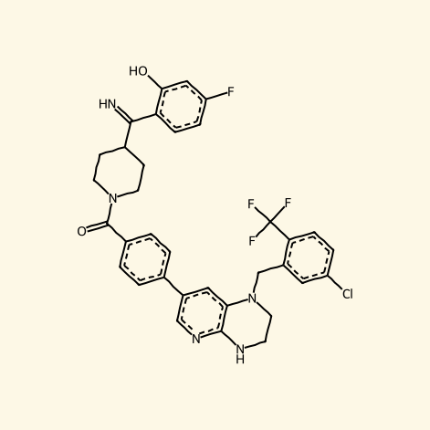 N=C(c1ccc(F)cc1O)C1CCN(C(=O)c2ccc(-c3cnc4c(c3)N(Cc3cc(Cl)ccc3C(F)(F)F)CCN4)cc2)CC1